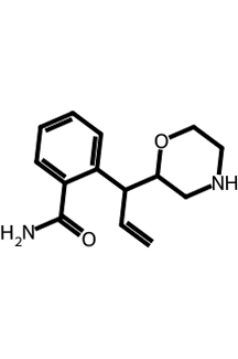 C=CC(c1ccccc1C(N)=O)C1CNCCO1